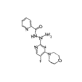 NN(NC(=O)c1ccccn1)c1ncc(F)c(N2CCOCC2)n1